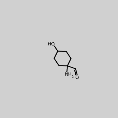 NC1(C=O)CCC(O)CC1